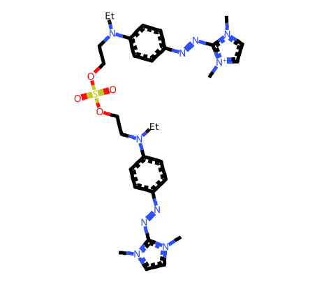 CCN(CCOS(=O)(=O)OCCN(CC)c1ccc(/N=N/c2n(C)cc[n+]2C)cc1)c1ccc(/N=N/c2n(C)cc[n+]2C)cc1